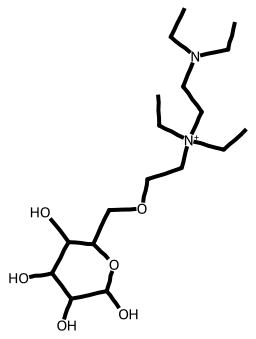 CCN(CC)CC[N+](CC)(CC)CCOCC1OC(O)C(O)C(O)C1O